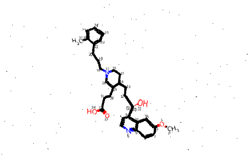 COc1ccc2nccc([C@@H](O)CCC3CCN(CCCc4ccccc4C)CC3CCC(=O)O)c2c1